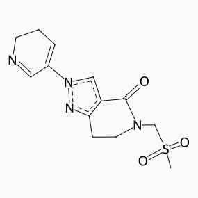 CS(=O)(=O)CN1CCc2nn(C3=CCCN=C3)cc2C1=O